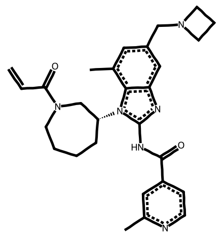 C=CC(=O)N1CCCC[C@@H](n2c(NC(=O)c3ccnc(C)c3)nc3cc(CN4CCC4)cc(C)c32)C1